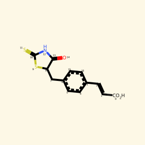 O=C(O)C=Cc1ccc(CC2SC(=S)NC2=O)cc1